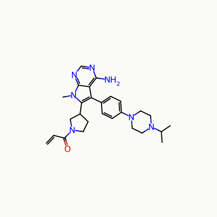 C=CC(=O)N1CCC(c2c(-c3ccc(N4CCN(C(C)C)CC4)cc3)c3c(N)ncnc3n2C)C1